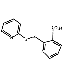 O=C(O)c1cccnc1SSc1ccccn1